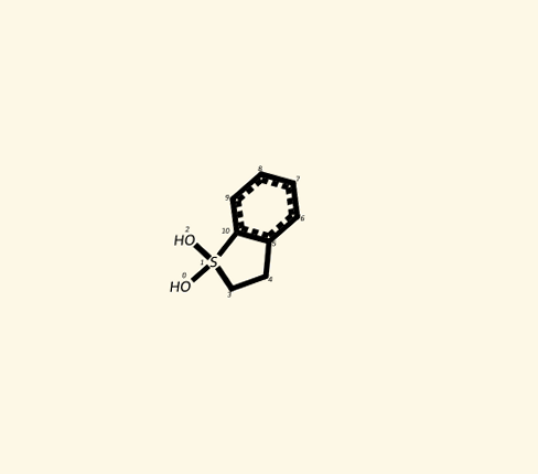 OS1(O)CCc2cc[c]cc21